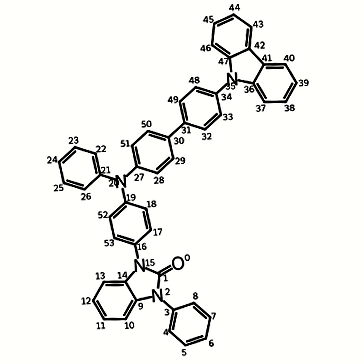 O=c1n(-c2ccccc2)c2ccccc2n1-c1ccc(N(c2ccccc2)c2ccc(-c3ccc(-n4c5ccccc5c5ccccc54)cc3)cc2)cc1